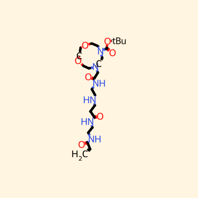 C=CC(=O)NCCNC(=O)CCNCCNC(=O)CN1CCOCCOCCN(C(=O)OC(C)(C)C)CC1